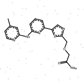 CNC(=O)COCc1ncc(-c2cccc(Nc3cc(C)ccn3)n2)s1